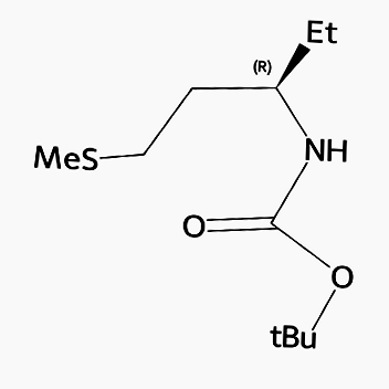 CC[C@H](CCSC)NC(=O)OC(C)(C)C